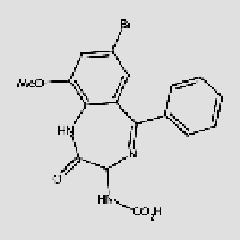 COc1cc(Br)cc2c1NC(=O)C(NC(=O)O)N=C2c1ccccc1